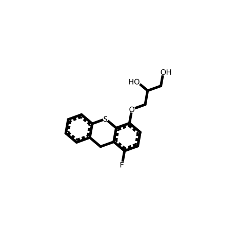 OCC(O)COc1ccc(F)c2c1Sc1ccccc1C2